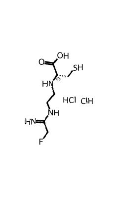 Cl.Cl.N=C(CF)NCCN[C@@H](CS)C(=O)O